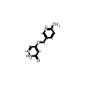 Cc1ccc(COc2cn[nH]c(=O)c2)cn1